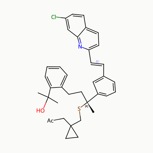 CC(=O)CC1(CS[C@](C)(CCc2ccccc2C(C)(C)O)c2cccc(/C=C/c3ccc4ccc(Cl)cc4n3)c2)CC1